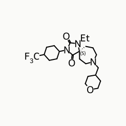 CCN1C(=O)N(C2CCC(C(F)(F)F)CC2)C(=O)[C@@]12CCCN(CC1CCOCC1)CC2